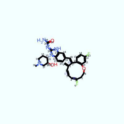 C=C1/C=C\C=C(\F)CCOc2cc(F)ccc2/C1=C/c1ccc2c(c1)[nH]/c(=N\C(N)=O)n2[C@H]1CCN(C)C[C@@H]1O